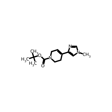 Cn1cnc(C2=CCN(C(=O)OC(C)(C)C)CC2)c1